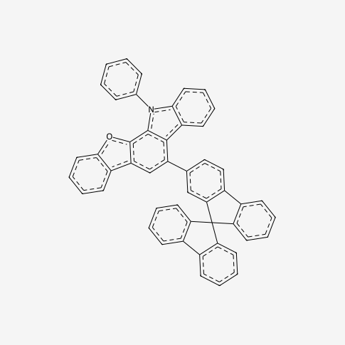 c1ccc(-n2c3ccccc3c3c(-c4ccc5c(c4)C4(c6ccccc6-c6ccccc64)c4ccccc4-5)cc4c5ccccc5oc4c32)cc1